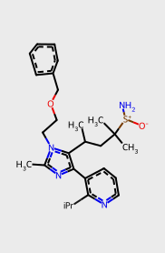 Cc1nc(-c2cccnc2C(C)C)c(C(C)CC(C)(C)[S+](N)[O-])n1CCOCc1ccccc1